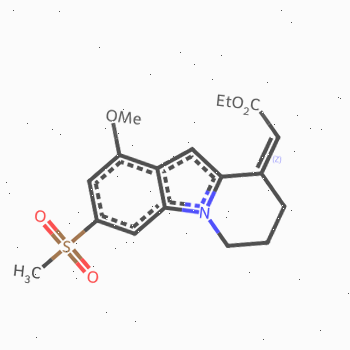 CCOC(=O)/C=C1/CCCn2c1cc1c(OC)cc(S(C)(=O)=O)cc12